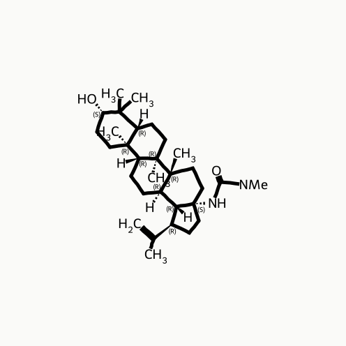 C=C(C)[C@@H]1CC[C@]2(NC(=O)NC)CC[C@]3(C)[C@H](CC[C@@H]4[C@@]5(C)CC[C@H](O)C(C)(C)[C@@H]5CC[C@]43C)[C@@H]12